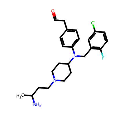 CC(N)CCN1CCC(N(Cc2cc(Cl)ccc2F)c2ccc(CC=O)cc2)CC1